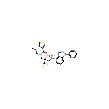 CCCN(CC(O)(CNc1cccc2c1cnn2-c1ccccc1)C(F)(F)F)C(=O)c1ccsc1